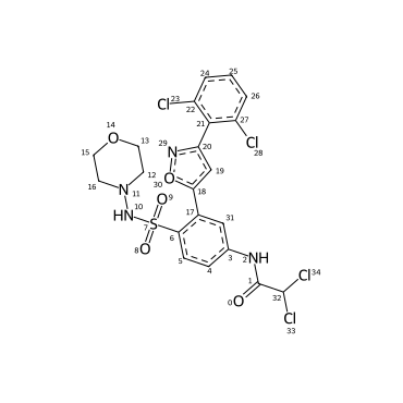 O=C(Nc1ccc(S(=O)(=O)NN2CCOCC2)c(-c2cc(-c3c(Cl)cccc3Cl)no2)c1)C(Cl)Cl